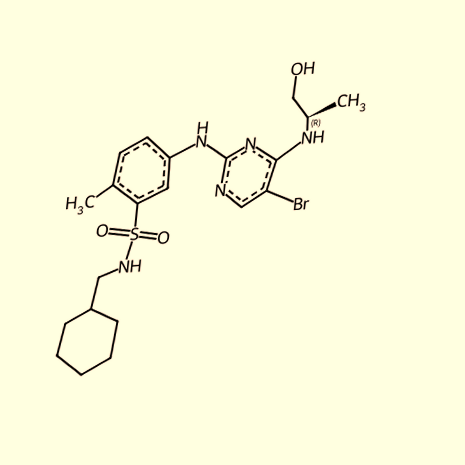 Cc1ccc(Nc2ncc(Br)c(N[C@H](C)CO)n2)cc1S(=O)(=O)NCC1CCCCC1